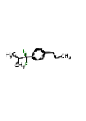 CCCc1ccc(C(F)(F)C(C)C)cc1